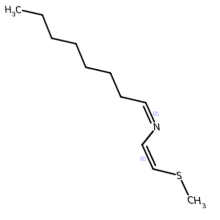 CCCCCCC/C=N\C=C/SC